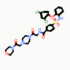 O=C(NCC(=O)N1CCN(CC(=O)N2CCOCC2)CC1)c1ccc(S(=O)(=O)Nc2ccccc2Oc2ccc(Cl)cc2Cl)cc1